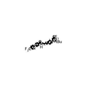 CC(C)(C)c1nc(N2CCN(CCCCNC(=O)C3CCN(c4ccc(C(F)(F)F)cn4)CC3)CC2)cc(C(F)(F)F)n1